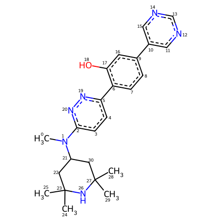 CN(c1ccc(-c2ccc(-c3cncnc3)cc2O)nn1)C1CC(C)(C)NC(C)(C)C1